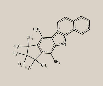 Bc1c2c(c(B)c3c1nc1c4ccccc4ccn13)C(C)(C)C(C)(C)C2(C)C